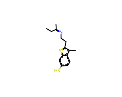 CC/C(C)=N\CCc1sc2cc(S)ccc2c1C